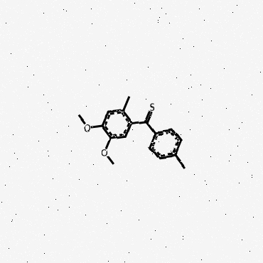 COc1cc(C)c(C(=S)c2ccc(C)cc2)cc1OC